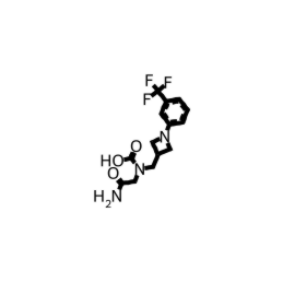 NC(=O)CN(CC1CN(c2cccc(C(F)(F)F)c2)C1)C(=O)O